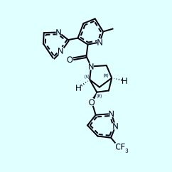 Cc1ccc(-c2ncccn2)c(C(=O)N2C[C@H]3C[C@@H](Oc4ccc(C(F)(F)F)nn4)[C@@H]2C3)n1